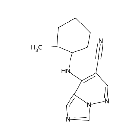 CC1CCCCC1Nc1c(C#N)cnn2cncc12